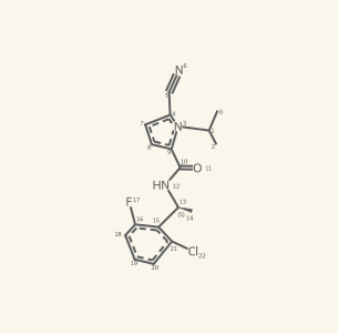 CC(C)n1c(C#N)ccc1C(=O)N[C@@H](C)c1c(F)cccc1Cl